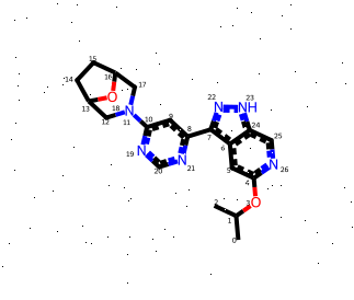 CC(C)Oc1cc2c(-c3cc(N4CC5CCC(C4)O5)ncn3)n[nH]c2cn1